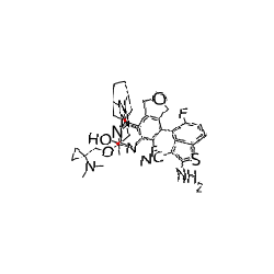 CC(O)CN1CC2CCC(C1)N2c1nc(OCC2(N(C)C)CC2)nc2c(F)c(-c3c(F)ccc4sc(N)c(C#N)c34)c3c(c12)COC3